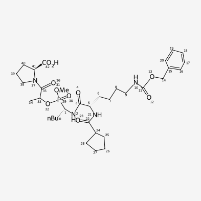 CCCC[C@@H](NC(=O)[C@H](CCCCNC(=O)OCc1ccccc1)NC(=O)C1CCCC1)P(=O)(OC)OC(C)C(=O)N1CCC[C@H]1C(=O)O